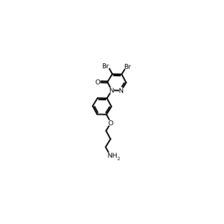 NCCCOc1cccc(-n2ncc(Br)c(Br)c2=O)c1